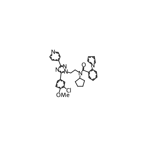 COc1ccc(-c2nc(-c3ccncc3)nn2CCN(C(=O)c2ccccc2-n2cccc2)C2CCCC2)cc1Cl